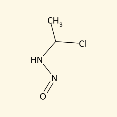 CC(Cl)NN=O